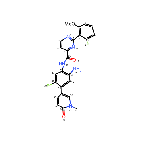 COc1cccc(F)c1-c1nccc(C(=O)Nc2cc(F)c(-c3ccc(=O)n(C)c3)cc2N)n1